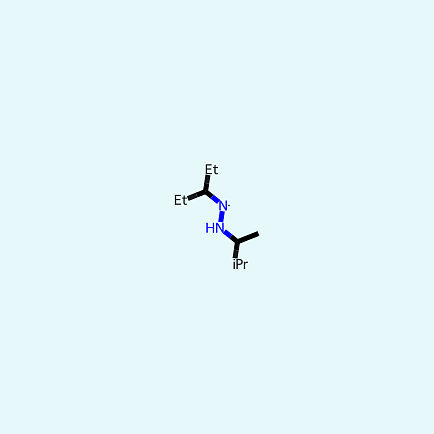 CCC(CC)[N]NC(C)C(C)C